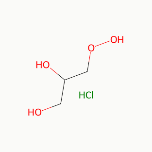 Cl.OCC(O)COO